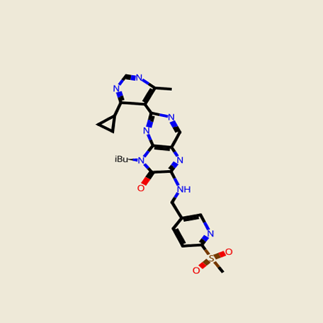 CC[C@H](C)n1c(=O)c(NCc2ccc(S(C)(=O)=O)nc2)nc2cnc(-c3c(C)ncnc3C3CC3)nc21